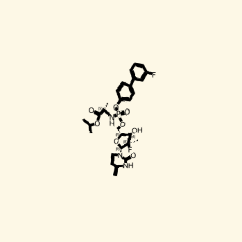 C=C1C=CN([C@@H]2O[C@H](COP(=O)(N[C@@H](C)C(=O)OC(C)C)Oc3ccc(-c4cccc(F)c4)cc3)[C@@H](O)[C@@]2(C)F)C(=O)N1